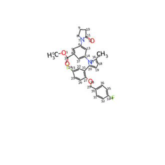 COC(=O)c1cc(N2CCCC2=O)cc(-n2c(C)ccc2-c2cc(F)ccc2OCc2ccc(F)cc2)c1